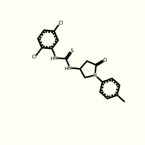 Cc1ccc(N2CC(NC(=S)Nc3cc(Cl)ccc3Cl)CC2=O)cc1